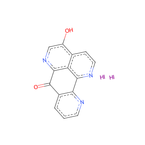 I.I.O=C1c2cccnc2-c2nccc3c(O)cnc1c23